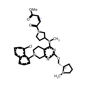 COC(=O)/C=C\C(=O)N1CCC(N(C)c2nc(OC[C@@H]3CCCN3C)nc3c2CCN(c2cccc4cccc(Cl)c24)C3)C1